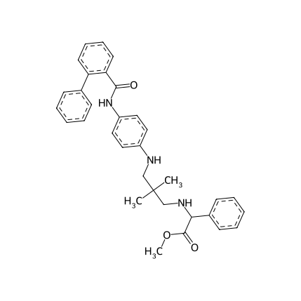 COC(=O)C(NCC(C)(C)CNc1ccc(NC(=O)c2ccccc2-c2ccccc2)cc1)c1ccccc1